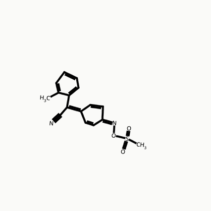 Cc1ccccc1C(C#N)=C1C=CC(=NOS(C)(=O)=O)C=C1